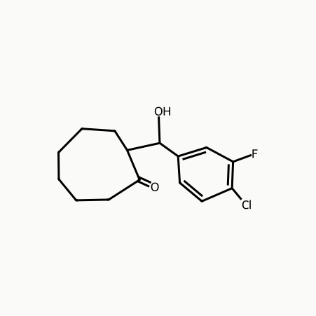 O=C1CCCCCCC1C(O)c1ccc(Cl)c(F)c1